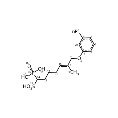 CCCc1cccc(OC/C(C)=C/CCCC(P(=O)(O)O)S(=O)(=O)O)c1